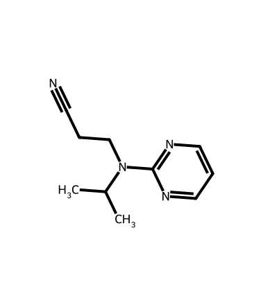 CC(C)N(CCC#N)c1ncccn1